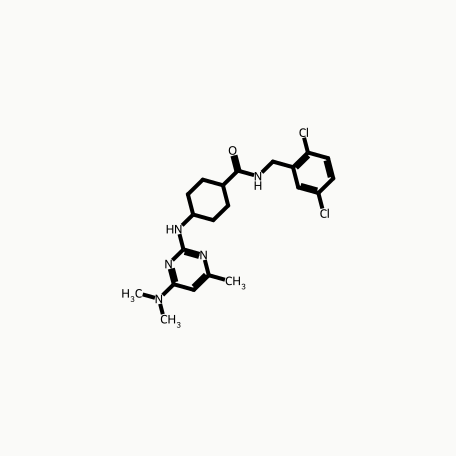 Cc1cc(N(C)C)nc(NC2CCC(C(=O)NCc3cc(Cl)ccc3Cl)CC2)n1